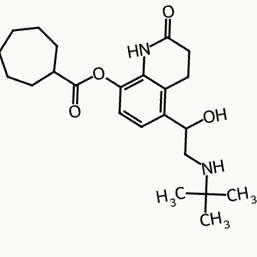 CC(C)(C)NCC(O)c1ccc(OC(=O)C2CCCCCC2)c2c1CCC(=O)N2